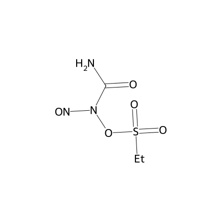 CCS(=O)(=O)ON(N=O)C(N)=O